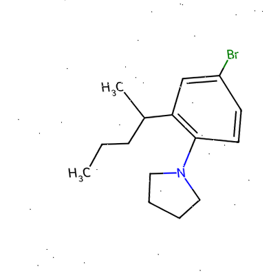 CCCC(C)c1cc(Br)ccc1N1CCCC1